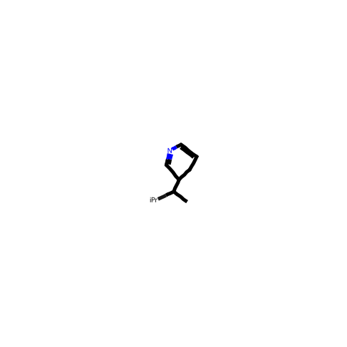 CC(C)C(C)C1C=NC=CC1